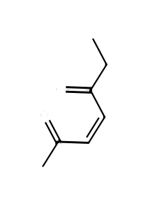 CCC(=O)/C=C\C(C)=O